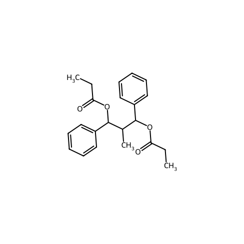 CCC(=O)OC(c1ccccc1)C(C)C(OC(=O)CC)c1ccccc1